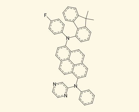 CC1(C)c2ccccc2-c2c(N(c3ccc(F)cc3)c3ccc4ccc5c(N(c6ccccc6)c6cnccn6)ccc6ccc3c4c65)cccc21